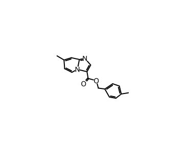 Cc1ccc(COC(=O)c2cnc3cc(C)ccn23)cc1